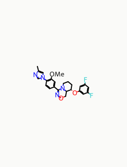 COc1cc(C2=NOCC3[C@@H](Oc4cc(F)cc(F)c4)CCCN23)ccc1-n1cnc(C)c1